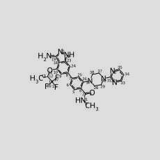 CNC(=O)c1ccc(-c2cc(O[C@H](C)C(F)(F)F)c3c(N)n[nH]c3c2)cc1N1CCN(c2ncccn2)CC1